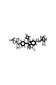 CC(C)OC(=O)Nc1ccc(-c2c(N)c3ccc(OCc4ncn[nH]4)cc3n2C2CCC2)cc1